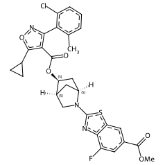 COC(=O)c1cc(F)c2nc(N3C[C@@H]4C[C@H]3C[C@@H]4OC(=O)c3c(-c4c(C)cccc4Cl)noc3C3CC3)sc2c1